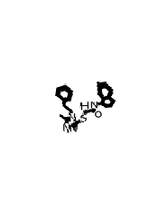 Cc1nnc(SCC(=O)Nc2cccc3ccccc23)n1CCc1ccccc1